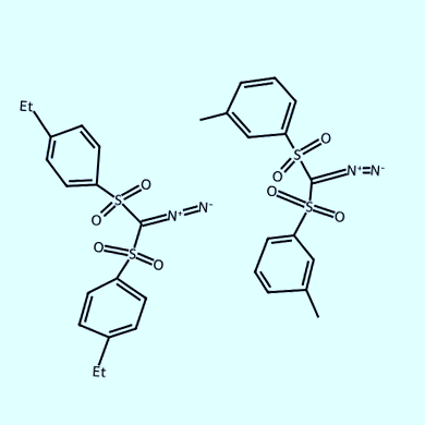 CCc1ccc(S(=O)(=O)C(=[N+]=[N-])S(=O)(=O)c2ccc(CC)cc2)cc1.Cc1cccc(S(=O)(=O)C(=[N+]=[N-])S(=O)(=O)c2cccc(C)c2)c1